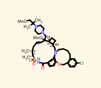 COCC(C)(C)N1CCN(CC2(OC)/C=C/C[C@@H](C)[C@@H](C)S(=O)(=O)NC(=O)c3ccc4c(c3)N(CCCCc3cc(Cl)ccc3CO4)C[C@@H]3CC[C@H]32)CC1